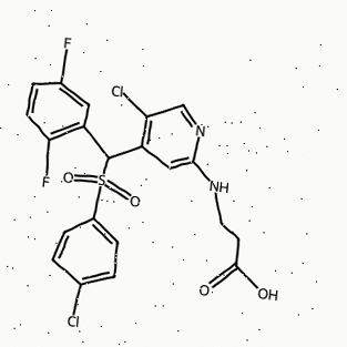 O=C(O)CCNc1cc(C(c2cc(F)ccc2F)S(=O)(=O)c2ccc(Cl)cc2)c(Cl)cn1